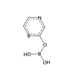 OB(O)Oc1bccnc1